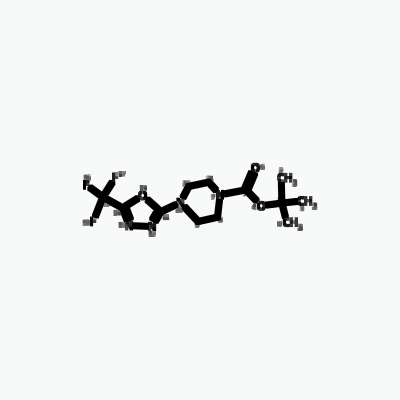 CC(C)(C)OC(=O)N1CCN(c2nnc(C(F)(F)F)o2)CC1